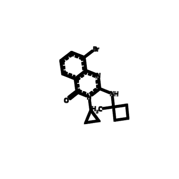 CC1(Nc2nc3c(Br)cccc3c(=O)n2C2CC2)CCC1